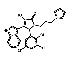 O=C1C(O)=C(c2c[nH]c3ccccc23)C(c2cc(Cl)cc(Cl)c2O)N1CCCn1ccnc1